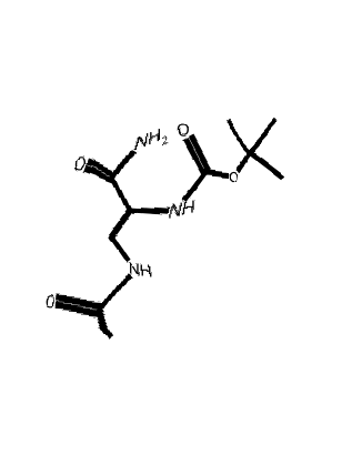 CC(=O)NCC(NC(=O)OC(C)(C)C)C(N)=O